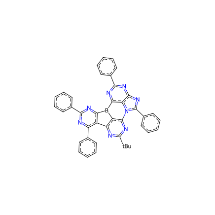 CC(C)(C)c1nc2c3c(n1)-n1c(-c4ccccc4)nc4nc(-c5ccccc5)nc(c41)B3c1nc(-c3ccccc3)nc(-c3ccccc3)c1-2